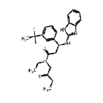 CCC(=O)CN(CC)C(=O)CC(Nc1nc2ccccc2[nH]1)c1cccc(C(C)(F)F)c1